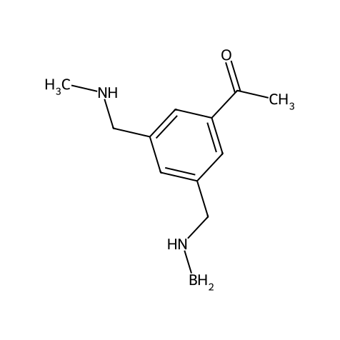 BNCc1cc(CNC)cc(C(C)=O)c1